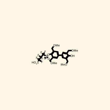 COCc1cc(-c2cc(COC)c(OS(=O)(=O)C(F)(F)C(F)(F)C(F)(F)S(=O)(=O)O)c(COC)c2)cc(COC)c1O